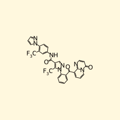 O=C(Nc1ccc(-n2cccn2)c(C(F)(F)F)c1)c1cnn(-c2ccccc2C(=O)c2cccn3c(=O)ccnc23)c1C(F)(F)F